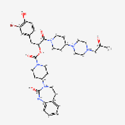 O=C(OC(Cc1ccc(O)c(Br)c1)C(=O)N1CCC(N2CCN(CC(=O)C(F)(F)F)CC2)CC1)N1CCC(N2CCc3ccccc3NC2=O)CC1